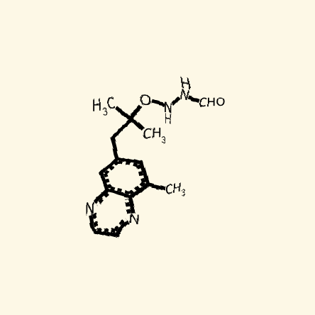 Cc1cc(CC(C)(C)ONNC=O)cc2nccnc12